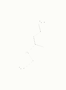 CCCCCCCCCCCC(O)NCCCCCCCCCC